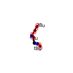 CC(C)(C)OC1CC(OCC2CC(OCCOC3CN(C(C)(C)C)C3CC(C)(C)OCC#Cc3cccc(N4CCC(OC5CC(OC(C)(C)C)C5)CC4)c3)C2)C1